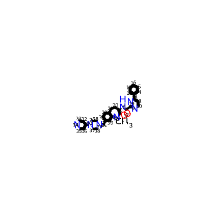 CN1C(=O)[C@H](NC(=O)c2nccc(-c3ccccc3)n2)CCc2ccc(CN3CCN(c4ccncc4)CC3)cc21